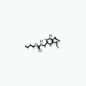 CCCCOC(=O)NCC1CNc2cnn(C)c2C1